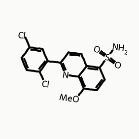 COc1ccc(S(N)(=O)=O)c2ccc(-c3cc(Cl)ccc3Cl)nc12